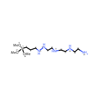 CO[Si](CCCNNCCNCCNCCN)(OC)OC